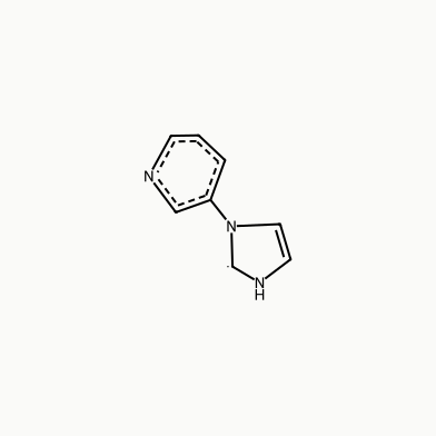 [CH]1NC=CN1c1cccnc1